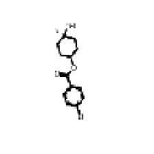 C[C@]1(O)CC[C@@H](OC(=O)c2ccc(Cl)cc2)CC1